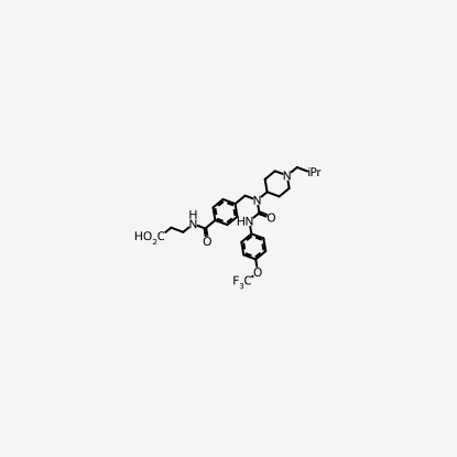 CC(C)CN1CCC(N(Cc2ccc(C(=O)NCCC(=O)O)cc2)C(=O)Nc2ccc(OC(F)(F)F)cc2)CC1